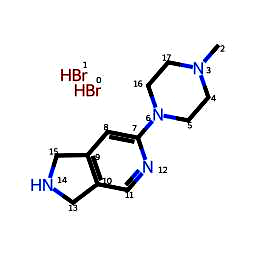 Br.Br.CN1CCN(c2cc3c(cn2)CNC3)CC1